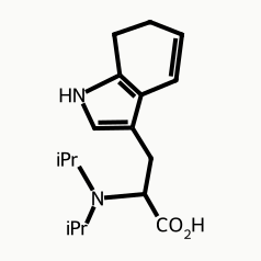 CC(C)N(C(C)C)C(Cc1c[nH]c2c1C=CCC2)C(=O)O